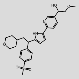 COCC(O)c1ccc(-c2ccc(C(CC3CCOCC3)c3ccc(S(C)(=O)=O)cc3)[nH]2)nc1